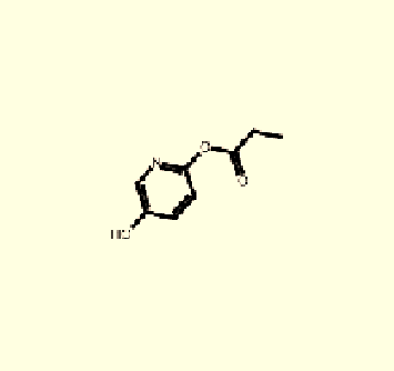 CCC(=O)Oc1ccc(O)cn1